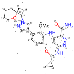 COc1c(Nc2cc(NC(=O)C3CC3)nnc2C(N)=O)cccc1-c1cnn([C@@H]2CC[C@@]23CCCCO3)c1